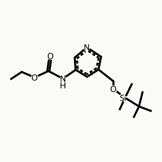 CCOC(=O)Nc1cncc(CO[Si](C)(C)C(C)(C)C)c1